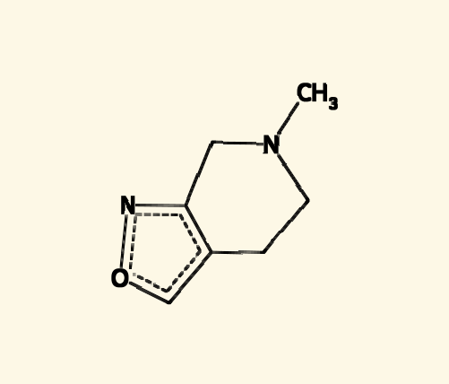 CN1CCc2conc2C1